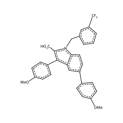 COc1ccc(-c2ccc3c(c2)c(-c2ccc(OC)cc2)c(C(=O)O)n3Cc2cccc(C(F)(F)F)c2)cc1